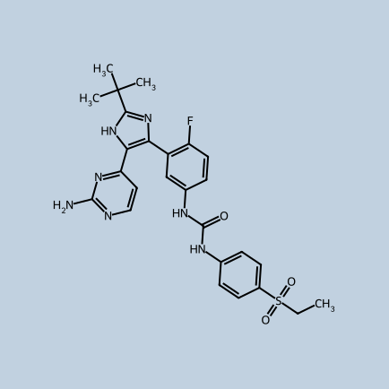 CCS(=O)(=O)c1ccc(NC(=O)Nc2ccc(F)c(-c3nc(C(C)(C)C)[nH]c3-c3ccnc(N)n3)c2)cc1